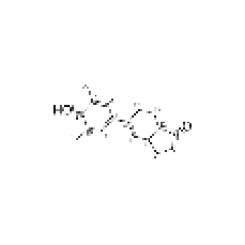 CC1=CC(C2=CC3CCC(=O)C3CC2)=CC(C)C1O